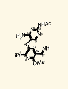 COc1nc(C(C)C)c(Oc2cnc(NC(C)=O)nc2N)cc1C=N